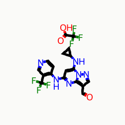 O=C(O)C(F)(F)F.O=Cc1cnn2c(NC3CC3)cc(Nc3ccncc3C(F)(F)F)nc12